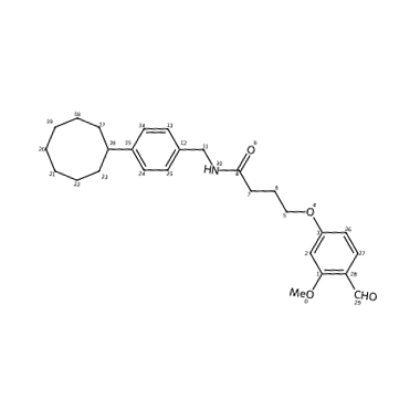 COc1cc(OCCCC(=O)NCc2ccc(C3CCCCCCC3)cc2)ccc1C=O